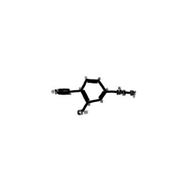 N#Cc1cc[c]([Mg][Br])cc1Cl